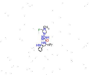 CCCC(Cc1c[nH]c2ccccc12)NC(=O)c1nnc(N2CCN(C)C(CF)C2)[nH]1